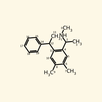 CNC(C)c1cc(C)c(C)cc1C(C)c1ccccc1